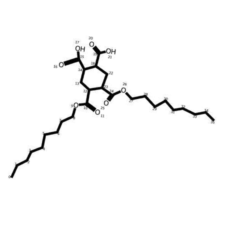 CCCCCCCCCOC(=O)C1CC(C(=O)O)C(C(=O)O)CC1C(=O)OCCCCCCCCC